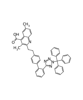 Cc1ccc2nc(CCc3ccc(-c4ccccc4-c4nnn(C(c5ccccc5)(c5ccccc5)c5ccccc5)n4)cc3)c(C)c(C(=O)O)c2c1